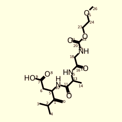 C=C(C(C)C)C(CC(=O)O)NC(=O)C(C)NC(=O)CNC(=O)OCCOC